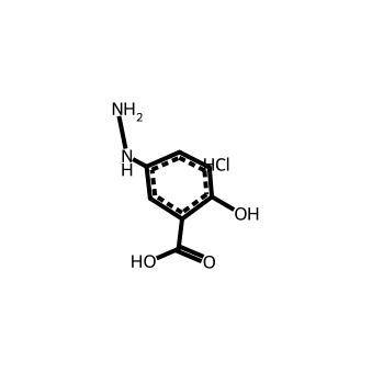 Cl.NNc1ccc(O)c(C(=O)O)c1